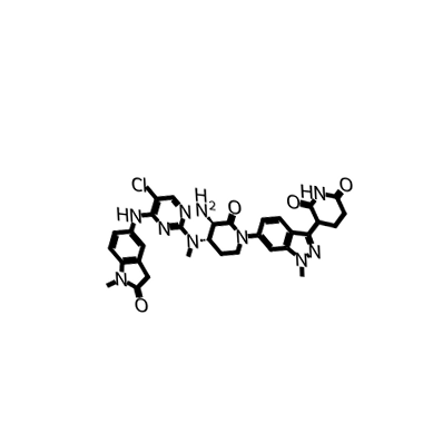 CN1C(=O)Cc2cc(Nc3nc(N(C)[C@H]4CCN(c5ccc6c(C7CCC(=O)NC7=O)nn(C)c6c5)C(=O)[C@@H]4N)ncc3Cl)ccc21